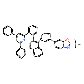 CC(C)(C)c1nc2ccc(-c3cccc(-c4c(-c5ccccc5-c5cc(-c6ccccc6)cc(-c6ccccc6)n5)ccc5ccccc45)c3)cc2o1